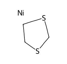 C1CSCS1.[Ni]